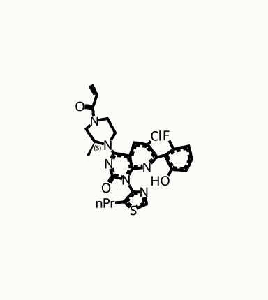 C=CC(=O)N1CCN(c2nc(=O)n(-c3ncsc3CCC)c3nc(-c4c(O)cccc4F)c(Cl)cc23)[C@@H](C)C1